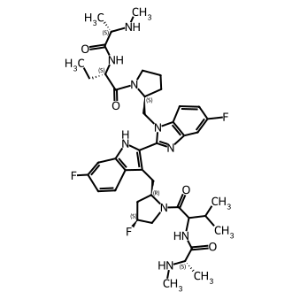 CC[C@H](NC(=O)[C@H](C)NC)C(=O)N1CCC[C@H]1Cn1c(-c2[nH]c3cc(F)ccc3c2C[C@@H]2C[C@H](F)CN2C(=O)C(NC(=O)[C@H](C)NC)C(C)C)nc2cc(F)ccc21